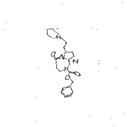 O=C(OCc1ccccc1)N1CCC(=O)N2[C@@H](CCN3CCCCC3)CC[C@H]2C1